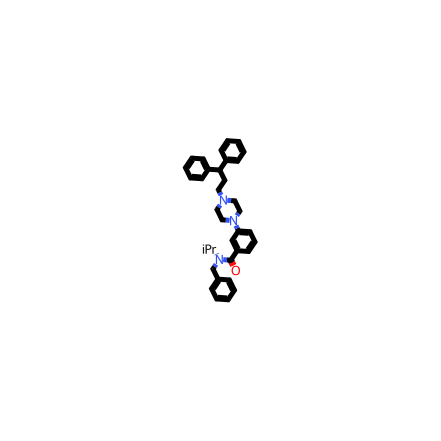 CC(C)N(Cc1ccccc1)C(=O)c1cccc(N2CCN(CCC(c3ccccc3)c3ccccc3)CC2)c1